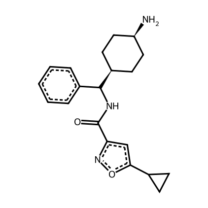 N[C@H]1CC[C@@H](C(NC(=O)c2cc(C3CC3)on2)c2ccccc2)CC1